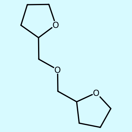 C1COC(COCC2CCCO2)C1